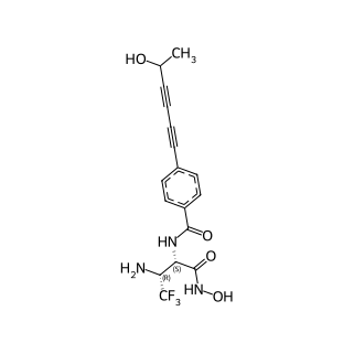 CC(O)C#CC#Cc1ccc(C(=O)N[C@H](C(=O)NO)[C@@H](N)C(F)(F)F)cc1